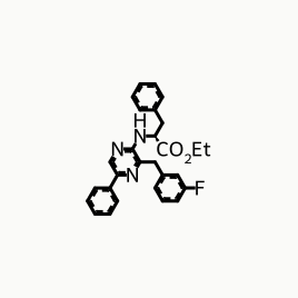 CCOC(=O)[C@H](Cc1ccccc1)Nc1ncc(-c2ccccc2)nc1Cc1cccc(F)c1